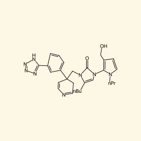 CCCCc1cn(-c2c(CO)ccn2CCC)c(=O)n1CC1(c2cccc(-c3nnn[nH]3)c2)C=CN=CC1